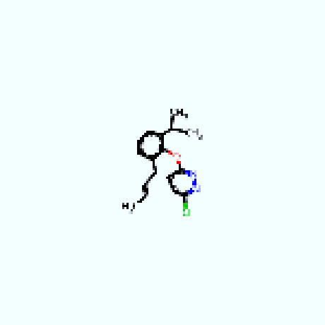 CC=CCc1cccc(C(C)C)c1Oc1ccc(Cl)nn1